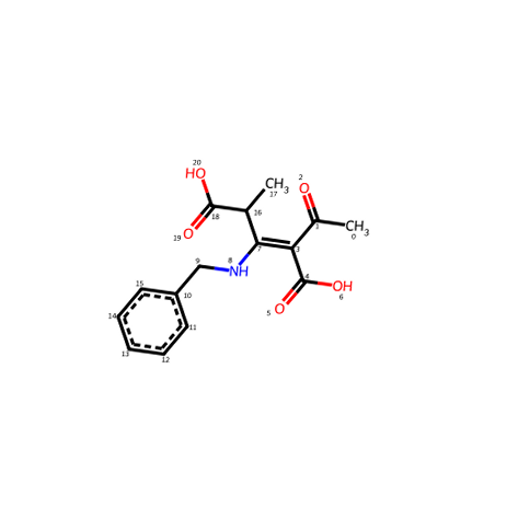 CC(=O)/C(C(=O)O)=C(/NCc1ccccc1)C(C)C(=O)O